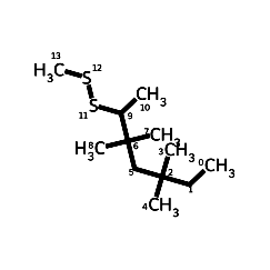 CCC(C)(C)CC(C)(C)C(C)SSC